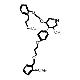 COc1ccccc1COCCCOc1ccc([C@H]2[C@H](O)CNC[C@@H]2OCCOc2ccccc2CCNC(C)=O)cc1